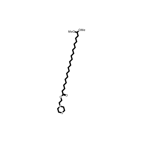 COC(CCCCCCCCCCCCCCCCCCCCC(=O)OCCN1CCSCC1)OC